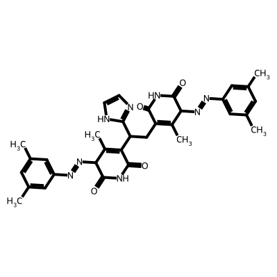 CC1=C(CC(C2=C(C)C(N=Nc3cc(C)cc(C)c3)C(=O)NC2=O)c2ncc[nH]2)C(=O)NC(=O)C1N=Nc1cc(C)cc(C)c1